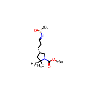 CC(C)(C)OC(=O)N1C[C@@H](CCC=N[S+]([O-])C(C)(C)C)CC1(C)C